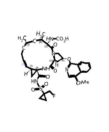 COc1cnc(O[C@@H]2C[C@H]3C(=O)N[C@]4(C(=O)NS(=O)(=O)C5(CF)CC5)C[C@H]4/C=C\CC[C@H](C)C[C@@H](C)[C@H](NC(=O)O)C(=O)N3C2)c2ccccc12